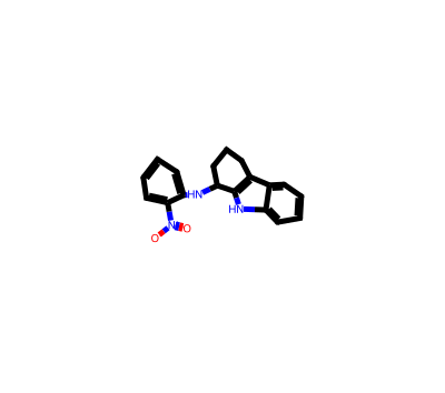 O=[N+]([O-])c1ccccc1NC1CCCc2c1[nH]c1ccccc21